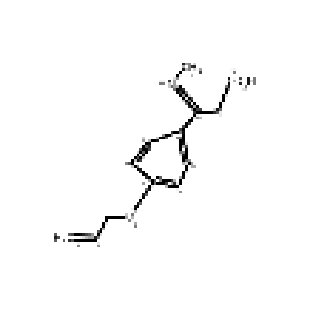 C=CCOc1ccc(C(CC(=O)O)=NC)cc1